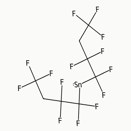 FC(F)(F)CC(F)(F)[C](F)(F)[Sn][C](F)(F)C(F)(F)CC(F)(F)F